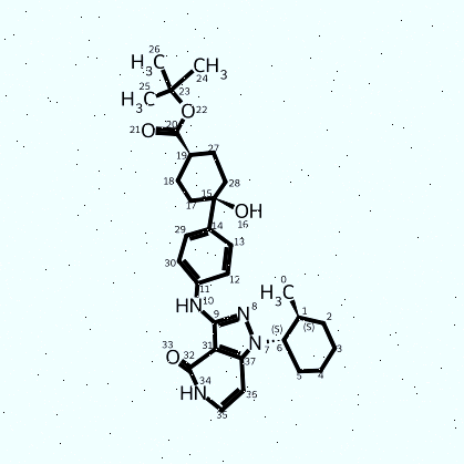 C[C@H]1CCCC[C@@H]1n1nc(Nc2ccc([C@]3(O)CC[C@@H](C(=O)OC(C)(C)C)CC3)cc2)c2c(=O)[nH]ccc21